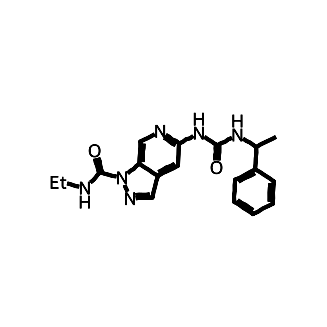 CCNC(=O)n1ncc2cc(NC(=O)NC(C)c3ccccc3)ncc21